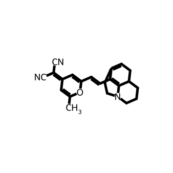 CC1=CC(=C(C#N)C#N)C=C(C=CC2=C3C4CC=C2CCN3CCC4)O1